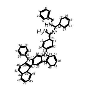 N/C(=N\C(NCc1ccccc1)C1C=CC=CC1)C1C=CC(n2c3c(c4cc5c6c(n(-c7ccccc7)c5cc42)C=CC2C=CC=CC62)CCC=C3)=CC1